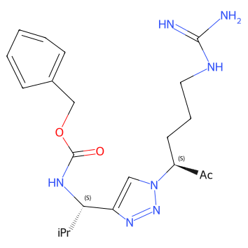 CC(=O)[C@H](CCCNC(=N)N)n1cc([C@@H](NC(=O)OCc2ccccc2)C(C)C)nn1